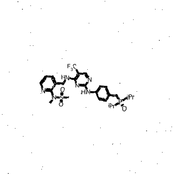 CC(C)P(=O)(Cc1ccc(Nc2ncc(C(F)(F)F)c(NCc3cccnc3N(C)S(C)(=O)=O)n2)cc1)C(C)C